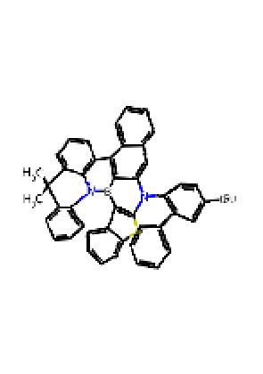 CC(C)(C)c1ccc(N2c3cc4ccccc4c4c3B(c3c2sc2ccccc32)N2c3ccccc3C(C)(C)c3cccc-4c32)c(-c2ccccc2)c1